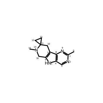 Cc1ncc2[nH]c3c(c2n1)CC1(CC1)N(C)C3